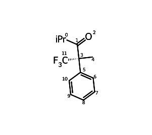 CC(C)C(=O)[C@@](C)(c1ccccc1)C(F)(F)F